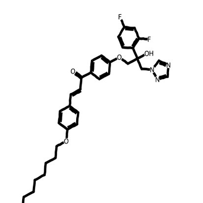 CCCCCCCCOc1ccc(/C=C/C(=O)c2ccc(OCC(O)(Cn3cncn3)c3ccc(F)cc3F)cc2)cc1